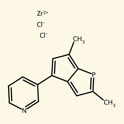 CC1=PC2=C(C)C=C(c3cccnc3)C2=C1.[Cl-].[Cl-].[Zr+2]